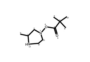 CC1CN(OC(=O)C(C)(C)C)CCN1